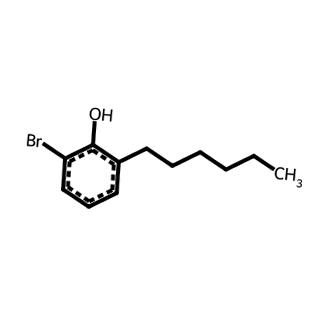 CCCCCCc1cccc(Br)c1O